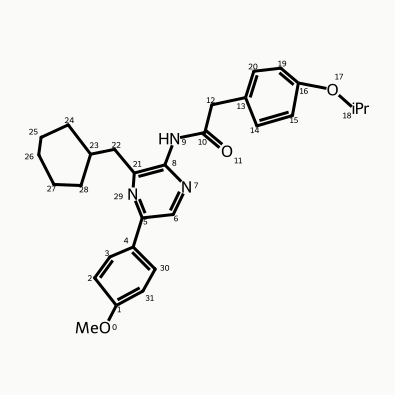 COc1ccc(-c2cnc(NC(=O)Cc3ccc(OC(C)C)cc3)c(CC3CCCCC3)n2)cc1